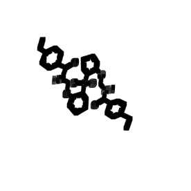 C=Cc1ccc(C(=O)NCOc2ccccc2S(=O)(=O)c2ccccc2OCNC(=O)c2ccc(C=C)cc2)cc1